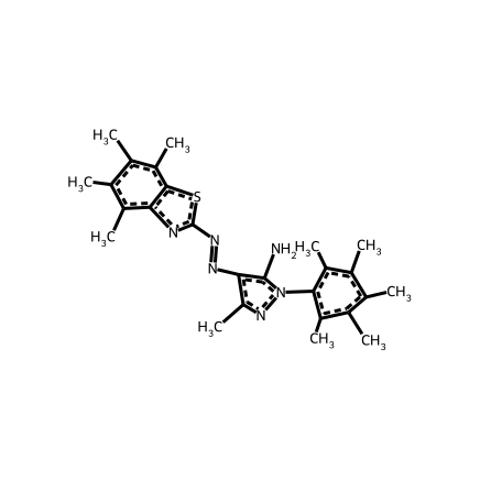 Cc1nn(-c2c(C)c(C)c(C)c(C)c2C)c(N)c1/N=N/c1nc2c(C)c(C)c(C)c(C)c2s1